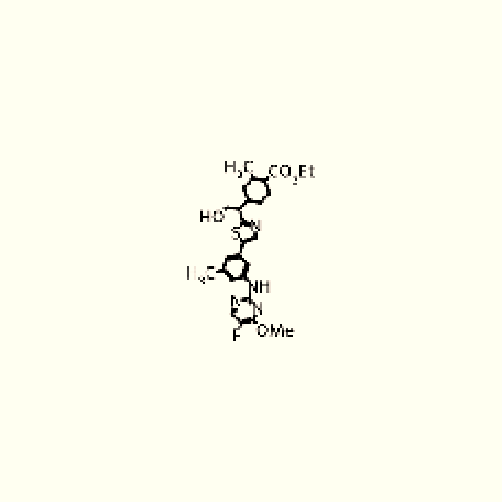 CCOC(=O)C1CCC(C(CO)c2ncc(-c3cc(C)cc(Nc4ncc(F)c(OC)n4)c3)s2)CC1C